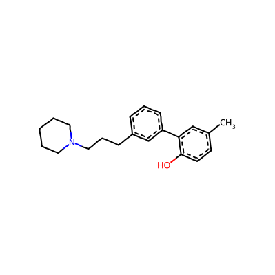 Cc1ccc(O)c(-c2cccc(CCCN3CCCCC3)c2)c1